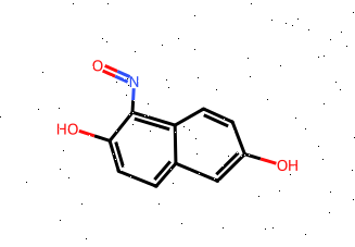 O=Nc1c(O)ccc2cc(O)ccc12